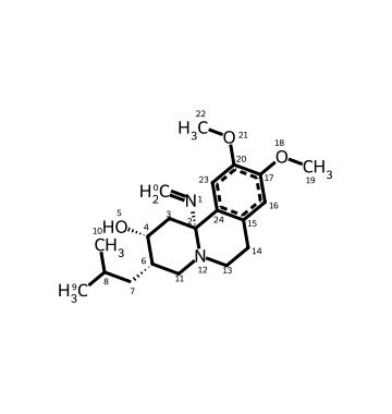 C=N[C@@]12C[C@@H](O)[C@@H](CC(C)C)CN1CCc1cc(OC)c(OC)cc12